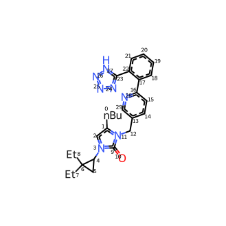 CCCCc1cn(C2CC2(CC)CC)c(=O)n1Cc1ccc(-c2ccccc2-c2nnn[nH]2)nc1